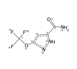 NC(=O)c1cc(OC(F)(F)F)n[nH]1